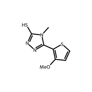 COc1ccsc1-c1nnc(S)n1C